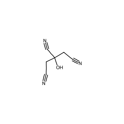 N#CCC(O)(C#N)CC#N